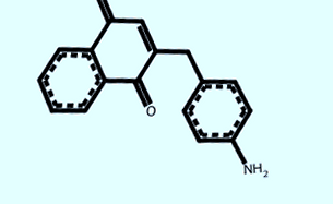 Nc1ccc(CC2=CC(=O)c3ccccc3C2=O)cc1